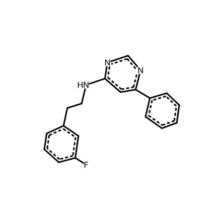 Fc1cccc(CCNc2cc(-c3ccccc3)ncn2)c1